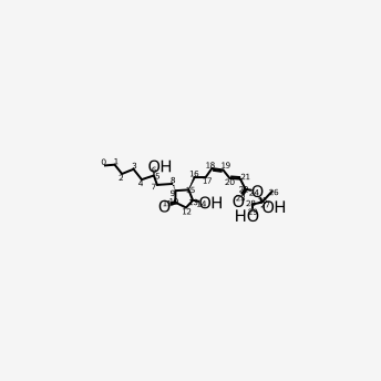 CCCCC[C@H](O)CC[C@H]1C(=O)CC(O)[C@@H]1CC/C=C\C=CC(=O)OC(C)(O)CO